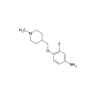 CN1CCC(COc2ccc(N)cc2F)CC1